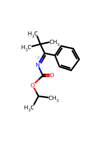 CC(C)OC(=O)/N=C(\c1ccccc1)C(C)(C)C